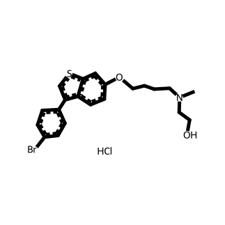 CN(CCO)CCCCOc1ccc2c(-c3ccc(Br)cc3)csc2c1.Cl